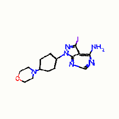 Nc1ncnc2c1c(I)nn2C1CCC(N2CCOCC2)CC1